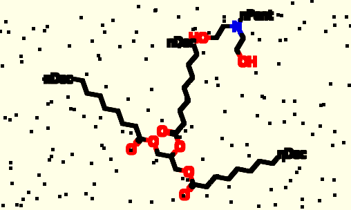 CCCCCCCCCCCCCCCCCC(=O)OCC(COC(=O)CCCCCCCCCCCCCCCCC)OC(=O)CCCCCCCCCCCCCCCCC.CCCCCN(CCO)CCO